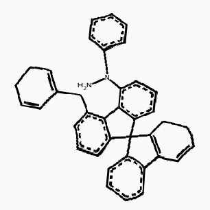 NN(c1ccccc1)c1cccc2c1-c1c(CC3=CCCC=C3)cccc1C21C2=C(C=CCC2)c2ccccc21